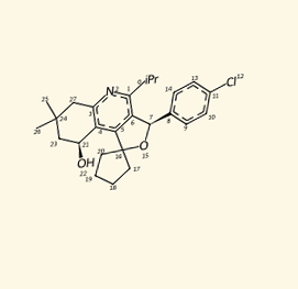 CC(C)c1nc2c(c3c1[C@@H](c1ccc(Cl)cc1)OC31CCCC1)[C@@H](O)CC(C)(C)C2